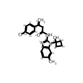 C=C(CC(=O)Nc1nc2ccc(C)cc2n1C1(C)CCC1)c1ccc(Cl)cc1